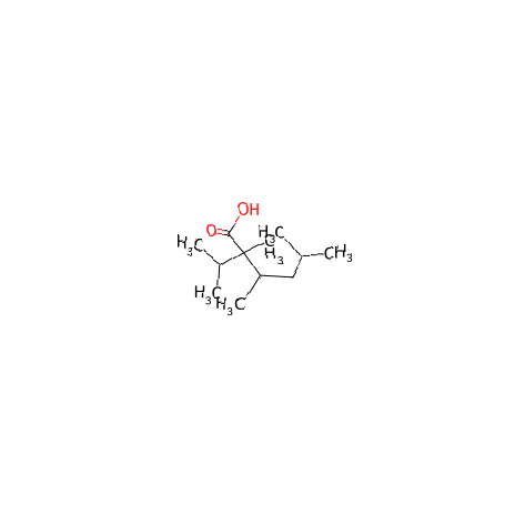 CC(C)CC(C)C(C)(C(=O)O)C(C)C